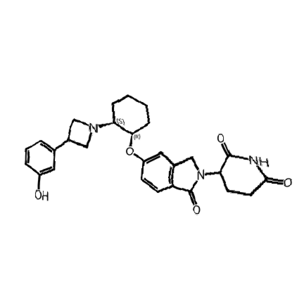 O=C1CCC(N2Cc3cc(O[C@@H]4CCCC[C@@H]4N4CC(c5cccc(O)c5)C4)ccc3C2=O)C(=O)N1